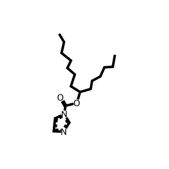 CCCCCCCC(CCCCCC)OC(=O)n1ccnc1